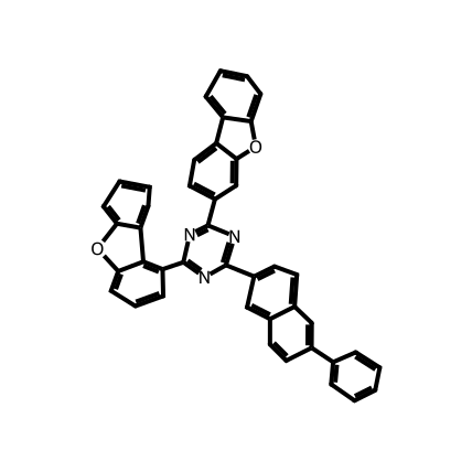 c1ccc(-c2ccc3cc(-c4nc(-c5ccc6c(c5)oc5ccccc56)nc(-c5cccc6oc7ccccc7c56)n4)ccc3c2)cc1